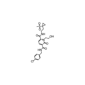 CS(=O)(=O)C1(CCNC(=O)c2ccc(C(=O)NCc3ccc(Cl)cc3)c(=O)n2CCO)CC1